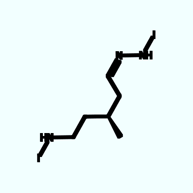 C[C@H](C/C=N\NI)CCNI